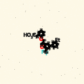 CCc1cccc(-c2cc(C(F)F)c3occ(COc4ccccc4CC(=O)O)c3c2)c1